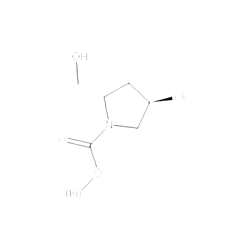 CC(C)(C)OC(=O)N1C[C@H](C(F)(F)F)C[C@H]1CO